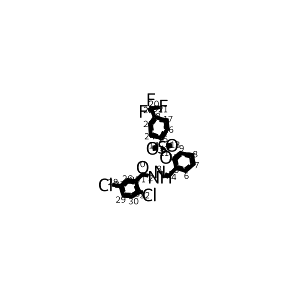 O=C(N/N=C/c1ccccc1OS(=O)(=O)c1ccc(C(F)(F)F)cc1)c1cc(Cl)ccc1Cl